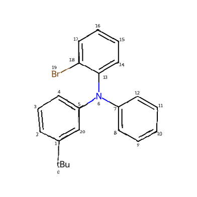 CC(C)(C)c1cccc(N(c2ccccc2)c2ccccc2Br)c1